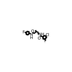 C=C(CCNC(=O)c1cc(F)cc(Cl)c1)CC(=O)Nc1ccc(F)cc1